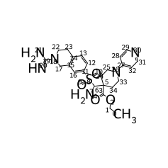 CCOC(=O)C1(C(N)S(=O)(=O)c2ccc3c(c2)CN(C(=N)N)CC3)CCN(c2ccncc2)CC1